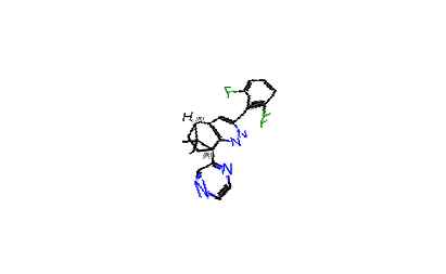 CC1(C)[C@H]2CC[C@@]1(c1cnccn1)c1nnc(-c3c(F)cccc3F)cc12